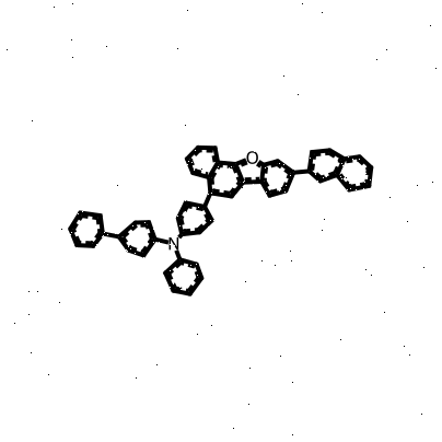 c1ccc(-c2ccc(N(c3ccccc3)c3ccc(-c4cc5c6ccc(-c7ccc8ccccc8c7)cc6oc5c5ccccc45)cc3)cc2)cc1